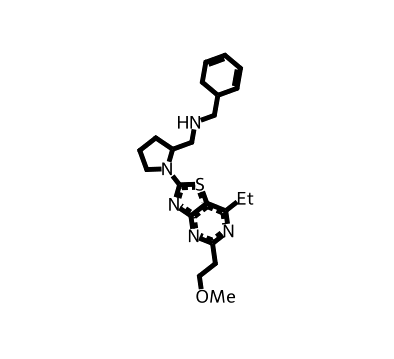 CCc1nc(CCOC)nc2nc(N3CCCC3CNCC3C=CC=CC3)sc12